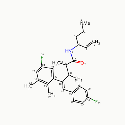 C=CC(CCNC)NC(=O)C(C)C(C)/C(=C\c1ccc(F)cc1)c1cc(F)cc(C)c1C